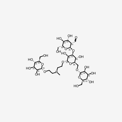 CN(CCO[C@H]1O[C@H](CO)[C@@H](O)[C@H](O)[C@@H]1O)CCO[C@H]1O[C@H](CO[C@H]2O[C@H](CO)[C@@H](O)[C@H](O)[C@@H]2O)[C@@H](O)[C@H](O[C@H]2O[C@H](CO)[C@@H](O)[C@H](O)[C@@H]2C=O)[C@@H]1O